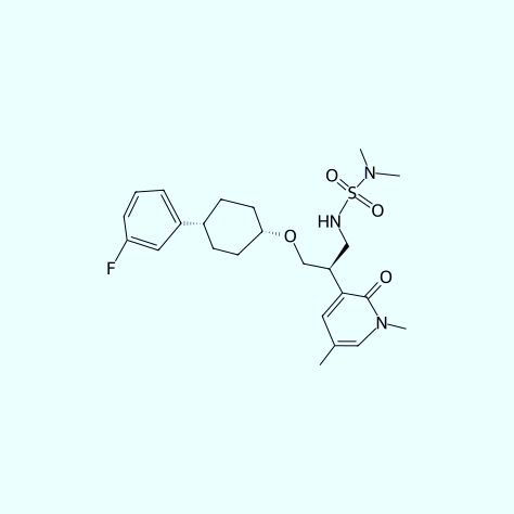 Cc1cc([C@H](CNS(=O)(=O)N(C)C)CO[C@H]2CC[C@@H](c3cccc(F)c3)CC2)c(=O)n(C)c1